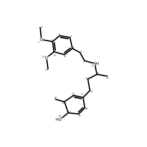 COc1ccc(CCNC(C)CCC2=CC(C)C(O)C=C2)cc1OC